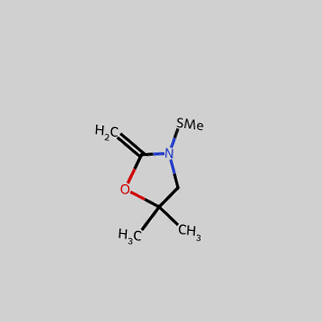 C=C1OC(C)(C)CN1SC